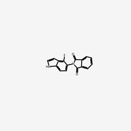 O=C1c2ccccc2C(=O)N1c1ccc2[nH]ccc2c1F